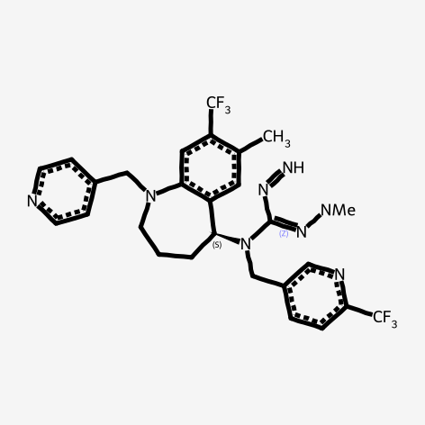 CN/N=C(\N=N)N(Cc1ccc(C(F)(F)F)nc1)[C@H]1CCCN(Cc2ccncc2)c2cc(C(F)(F)F)c(C)cc21